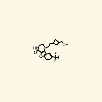 O=C1NCCN(CCC2CC(CO)C2)c2c1oc1ccc(C(F)(F)F)cc21